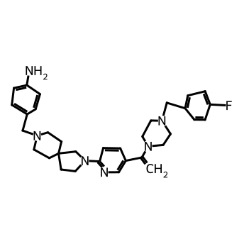 C=C(c1ccc(N2CCC3(CCN(Cc4ccc(N)cc4)CC3)C2)nc1)N1CCN(Cc2ccc(F)cc2)CC1